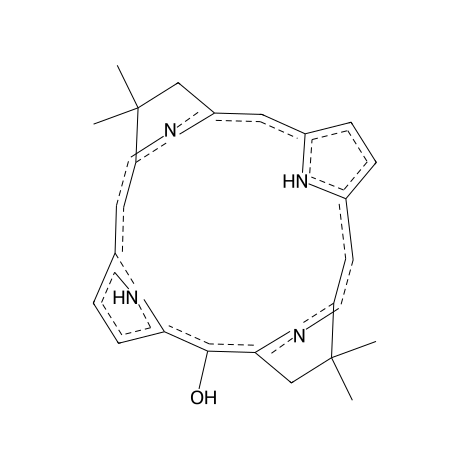 CC1(C)Cc2cc3ccc(cc4nc(c(O)c5ccc(cc1n2)[nH]5)CC4(C)C)[nH]3